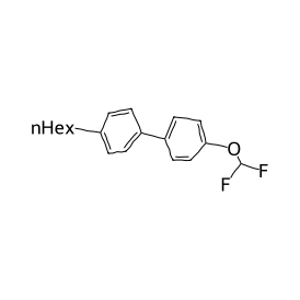 CCCCCCc1ccc(-c2ccc(OC(F)F)cc2)cc1